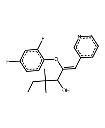 CCC(C)(C)C(O)C(=Cc1cccnc1)Oc1ccc(F)cc1F